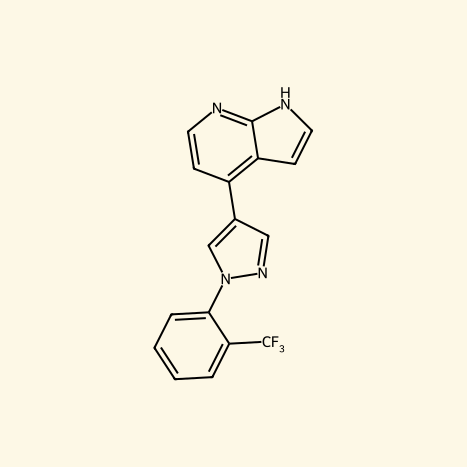 FC(F)(F)c1ccccc1-n1cc(-c2ccnc3[nH]ccc23)cn1